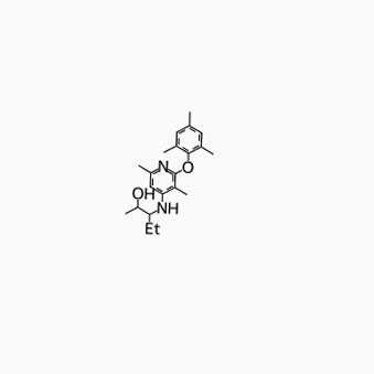 CCC(Nc1cc(C)nc(Oc2c(C)cc(C)cc2C)c1C)C(C)O